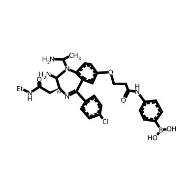 CCNC(=O)C[C@@H]1N=C(c2ccc(Cl)cc2)c2cc(OCCC(=O)Nc3ccc(B(O)O)cc3)ccc2N(C(C)N)C1N